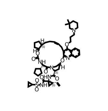 C=C[C@@H]1C[C@]1(NC(=O)[C@@H]1C[C@@H]2CN1C(=O)[C@H](C1CCCC1)NC(=O)O[C@@H]1CCC[C@H]1CCC=CCc1c(nc3ccccc3c1OCCCN1CCCC(C)(C)C1)O2)C(=O)NS(=O)(=O)C1CC1